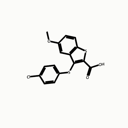 COc1ccc2sc(C(=O)O)c(Sc3ccc(Cl)cc3)c2c1